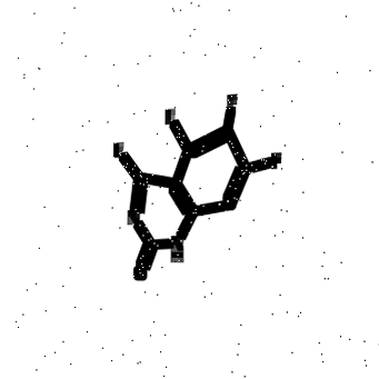 O=c1nc(F)c2c(F)c(F)c(F)cc2[nH]1